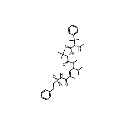 CN[C@H](C(=O)N[C@H](C(=O)N(C)[C@H](C=C(C)C(=O)NS(=O)(=O)CCc1ccccc1)C(C)C)C(C)(C)C)C(C)(C)c1ccccc1